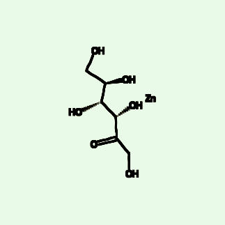 O=C(CO)[C@@H](O)[C@H](O)[C@H](O)CO.[Zn]